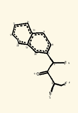 O=C(C(F)F)C(F)c1ccc2ccccc2c1